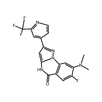 CN(C)c1cc2c(cc1F)c(=O)[nH]c1cc(-c3ccnc(C(F)(F)F)c3)nn12